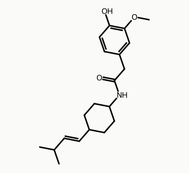 COc1cc(CC(=O)NC2CCC(C=CC(C)C)CC2)ccc1O